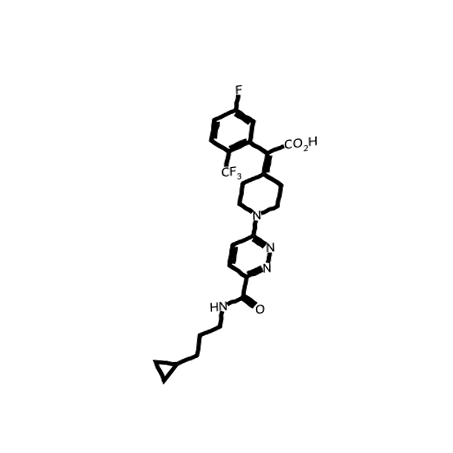 O=C(O)C(=C1CCN(c2ccc(C(=O)NCCCC3CC3)nn2)CC1)c1cc(F)ccc1C(F)(F)F